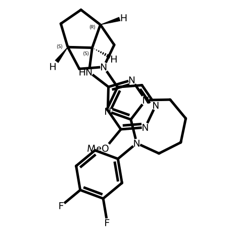 COc1cc(N2C[C@H]3CC[C@@H](C2)[C@@H]3Nc2nc3n(n2)CCCCN3c2ccc(F)c(F)c2)cnn1